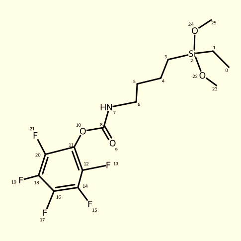 CC[Si](CCCCNC(=O)Oc1c(F)c(F)c(F)c(F)c1F)(OC)OC